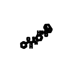 O=C(Nc1nc2ccc(NC(=O)C34CC5CC(CC(C5)C3)C4)cc2s1)c1ccccc1